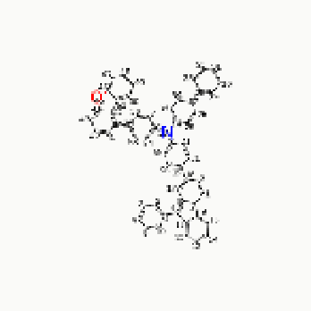 C1=CC2C(=C(c3ccccc3)c3ccccc32)C=C1c1ccc(N(c2ccc(-c3ccccc3)cc2)c2ccc(-c3cccc4oc5ccccc5c34)cc2)cc1